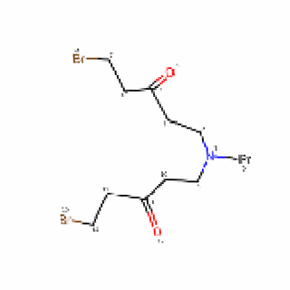 CC(C)N(CCC(=O)CCBr)CCC(=O)CCBr